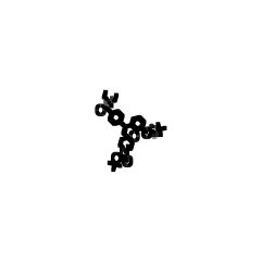 CCN(CC)C(=O)c1ccc(C2=CC3(CCN(C(=O)OC(C)(C)C)CC3)Oc3c(O[Si](C)(C)C(C)(C)C)cccc32)cc1